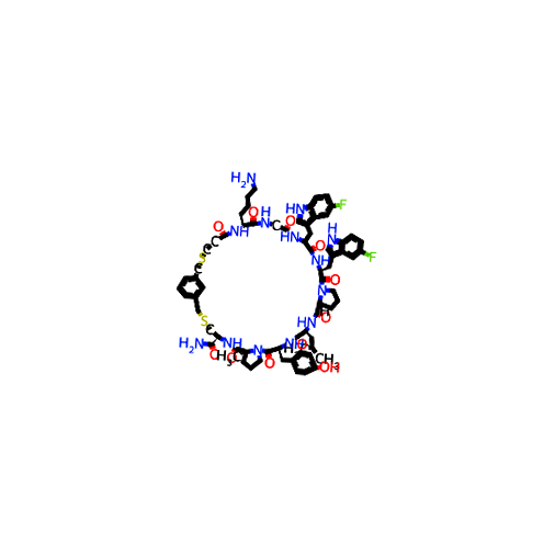 CC(C)C[C@@H]1NC(=O)[C@@H]2CCCN2C(=O)[C@H](Cc2c[nH]c3ccc(F)cc23)NC(=O)C(Cc2c[nH]c3ccc(F)cc23)NC(=O)CNC(=O)[C@H](CCCCN)NC(=O)CCSCc2cccc(c2)CSC[C@@H](C(N)=O)NC(=O)[C@]2(C)CCCN2C(=O)[C@H](Cc2ccc(O)cc2)NC1=O